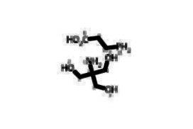 NC(CO)(CO)CO.O=C(O)CCP